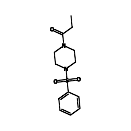 CCC(=O)N1CCN(S(=O)(=O)c2ccccc2)CC1